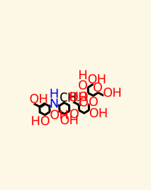 CC1CC(OC2CC(O)C(OC3C(CO)OC(O)C(O)C3O)OC2CO)C(O)CC1NC1C=C(CO)CC(O)C1O